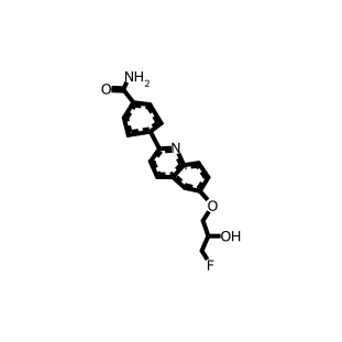 NC(=O)c1ccc(-c2ccc3cc(OCC(O)CF)ccc3n2)cc1